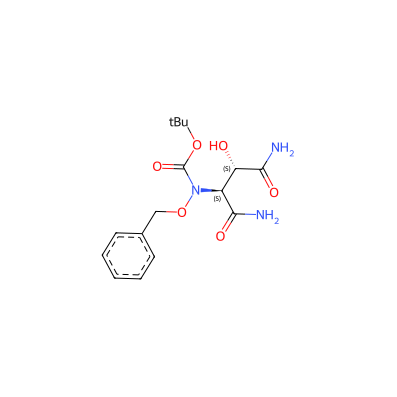 CC(C)(C)OC(=O)N(OCc1ccccc1)[C@H](C(N)=O)[C@H](O)C(N)=O